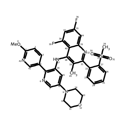 COc1ccc(-c2ncc(N3CCOCC3)cc2Nc2c(C)c(-c3ccccc3S(C)(=O)=O)nc3cc(F)cc(F)c23)cn1